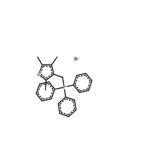 Cc1oc(C)c(C[P+](c2ccccc2)(c2ccccc2)c2ccccc2)c1C.[Br-]